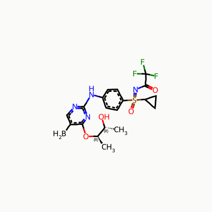 Bc1cnc(Nc2ccc(S(=O)(=NC(=O)C(F)(F)F)C3CC3)cc2)nc1O[C@H](C)[C@@H](C)O